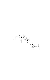 CC(=O)Nc1ccc(-c2nc3ccc(C(=O)Nc4cccc(Cl)c4)cc3[nH]2)cc1